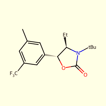 CC[C@@H]1[C@@H](c2cc(C)cc(C(F)(F)F)c2)OC(=O)N1C(C)(C)C